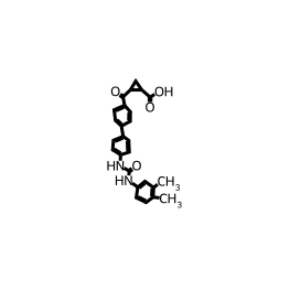 Cc1ccc(NC(=O)Nc2ccc(-c3ccc(C(=O)C4CC4C(=O)O)cc3)cc2)cc1C